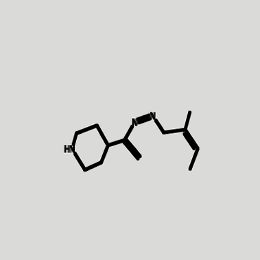 C=C(/N=N\C/C(C)=C\C)C1CCNCC1